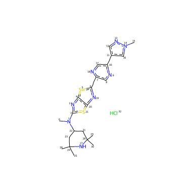 CN(c1nc2sc(-c3cnc(-c4cnn(C)c4)cn3)nc2s1)C1CC(C)(C)NC(C)(C)C1.Cl